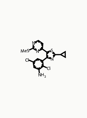 CSc1nccc(-c2sc(C3CC3)nc2-c2cc(Cl)cc(N)c2Cl)n1